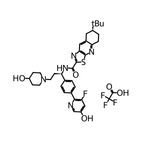 CC(C)(C)[C@H]1CCc2nc3sc(C(=O)N[C@H](CCN4CCC(O)CC4)c4ccc(-c5ncc(O)cc5F)cc4)nc3cc2C1.O=C(O)C(F)(F)F